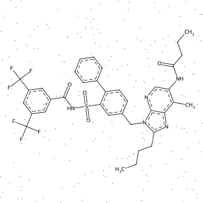 CCCCc1nc2c(C)c(NC(=O)CCC)cnc2n1Cc1ccc(-c2ccccc2)c(S(=O)(=O)NC(=O)c2cc(C(F)(F)F)cc(C(F)(F)F)c2)c1